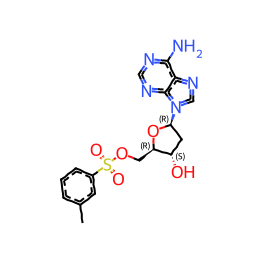 Cc1cccc(S(=O)(=O)OC[C@H]2O[C@@H](n3cnc4c(N)ncnc43)C[C@@H]2O)c1